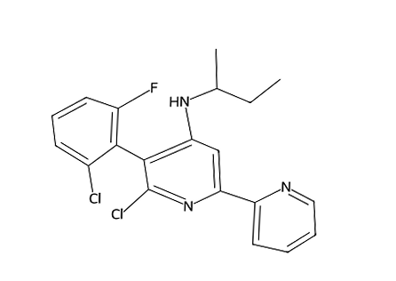 CCC(C)Nc1cc(-c2ccccn2)nc(Cl)c1-c1c(F)cccc1Cl